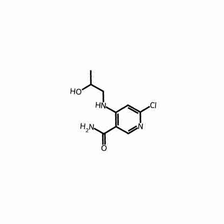 CC(O)CNc1cc(Cl)ncc1C(N)=O